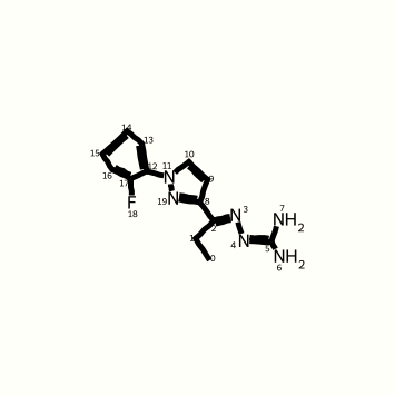 CCC(=NN=C(N)N)c1ccn(-c2ccccc2F)n1